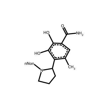 CCCCCCCCCN1CCCC1c1c(C)cc(C(N)=O)c(O)c1O